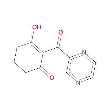 O=C1CCCC(O)=C1C(=O)c1cnccn1